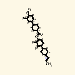 C/C=C/C1CCC(c2ccc(OC(=O)C3CCC(c4ccc(OCC)c(F)c4)CC3)c(F)c2F)CC1